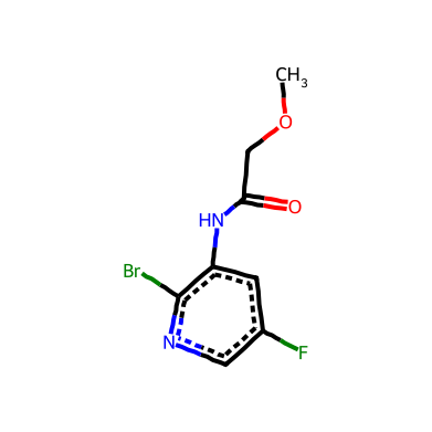 COCC(=O)Nc1cc(F)cnc1Br